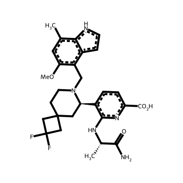 COc1cc(C)c2[nH]ccc2c1CN1CCC2(C[C@@H]1c1ccc(C(=O)O)nc1N[C@@H](C)C(N)=O)CC(F)(F)C2